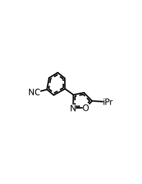 CC(C)c1cc(-c2cccc(C#N)c2)no1